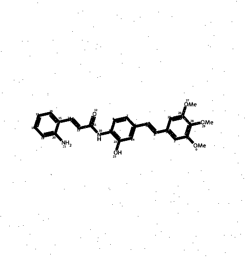 COc1cc(/C=C/c2ccc(NC(=O)/C=C/c3ccccc3N)c(O)c2)cc(OC)c1OC